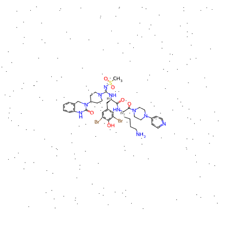 CS(=O)(=O)N=C(N[C@H](Cc1cc(Br)c(O)c(Br)c1)C(=O)N[C@@H](CCCCN)C(=O)N1CCN(c2ccncc2)CC1)N1CCC(N2Cc3ccccc3NC2=O)CC1